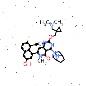 C#Cc1c(F)ccc2cc(O)cc(-c3cc4nc(OCC5(CN(C)C)CC5)nc(N5CC6CCC(C5)N6)c4c(=O)n3C)c12